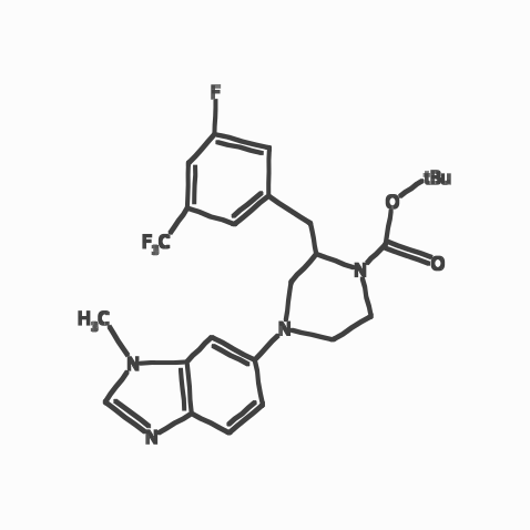 Cn1cnc2ccc(N3CCN(C(=O)OC(C)(C)C)C(Cc4cc(F)cc(C(F)(F)F)c4)C3)cc21